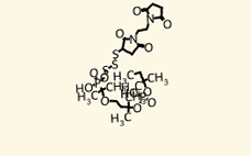 CCC(C)(C)OP(=O)(O)OC(C)(C)CCOC(C)(C)P(=O)(O)OSSSC1CC(=O)N(CCN2C(=O)CCC2=O)C1=O